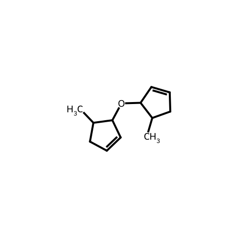 CC1CC=CC1OC1C=CCC1C